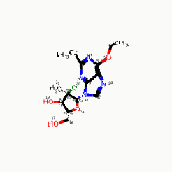 CCOc1nc(C)nc2c1ncn2[C@@H]1O[C@H](CO)[C@@H](O)[C@@]1(C)Cl